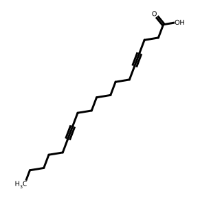 CCCCCC#CCCCCCCC#CCCC(=O)O